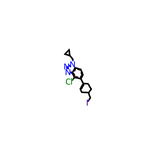 Clc1c(C2=CCC(CI)CC2)ccc2c1nnn2CC1CC1